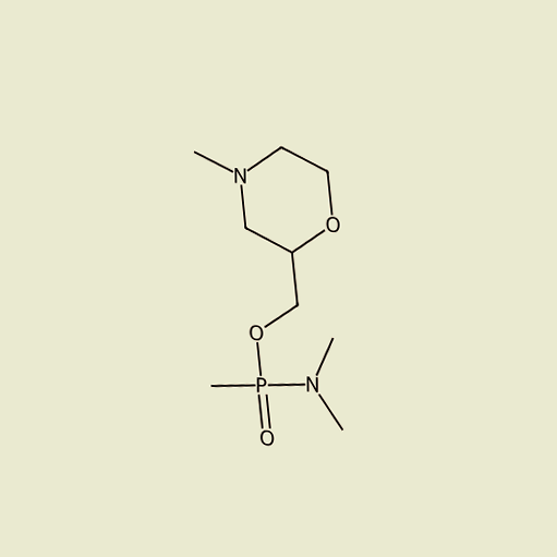 CN1CCOC(COP(C)(=O)N(C)C)C1